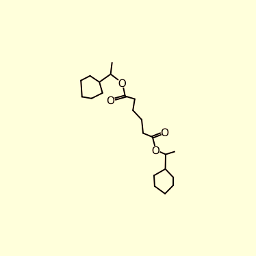 CC(OC(=O)CCCCC(=O)OC(C)C1CCCCC1)C1CCCCC1